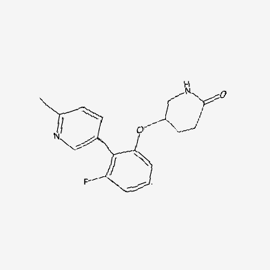 Cc1ccc(-c2c(F)c[c]cc2OC2CCC(=O)NC2)cn1